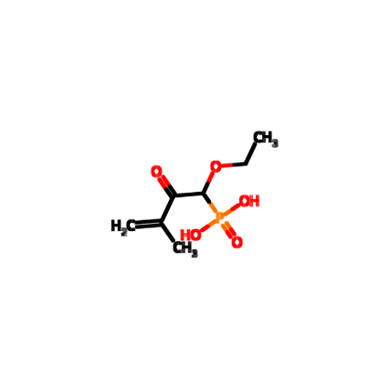 C=C(C)C(=O)C(OCC)P(=O)(O)O